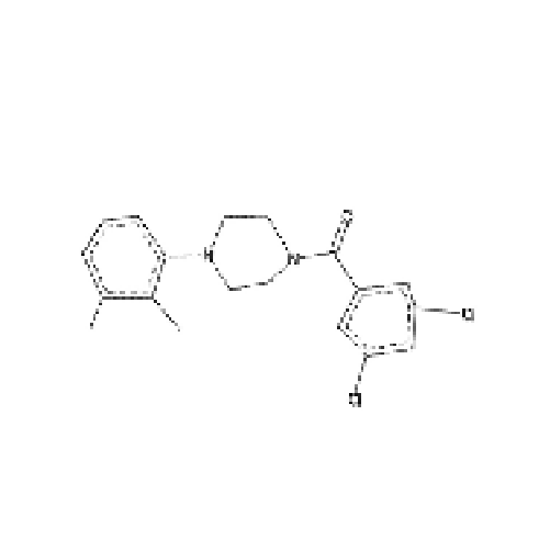 Cc1cccc(N2CCN(C(=O)c3cc(Cl)cc(Cl)c3)CC2)c1C